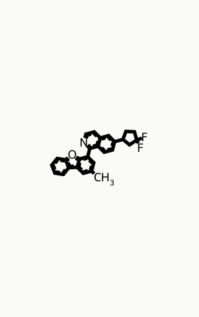 Cc1cc(-c2nccc3cc(C4CCC(F)(F)C4)ccc23)c2oc3ccccc3c2c1